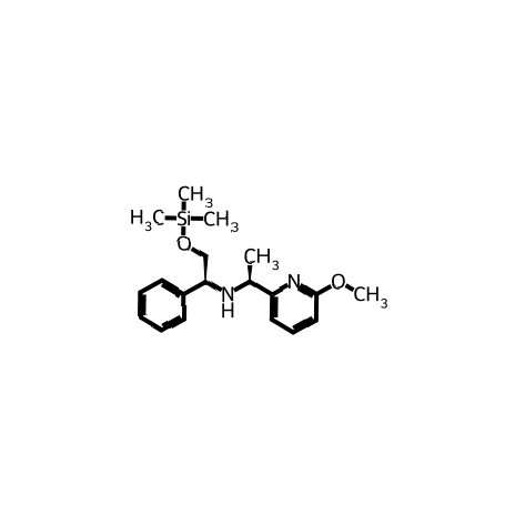 COc1cccc([C@H](C)N[C@H](CO[Si](C)(C)C)c2ccccc2)n1